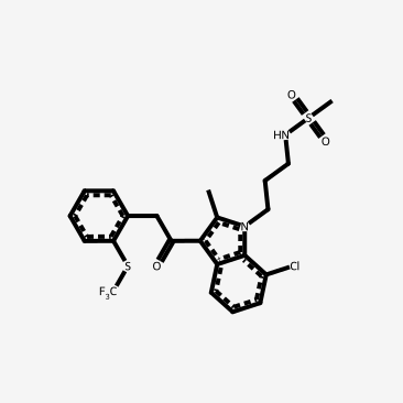 Cc1c(C(=O)Cc2ccccc2SC(F)(F)F)c2cccc(Cl)c2n1CCCNS(C)(=O)=O